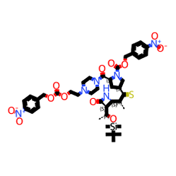 C[C@@H](O[Si](C)(C)C(C)(C)C)[C@H]1C(=O)N[C@@H]1[C@@H](C)C(=S)[C@H]1C[C@@H](C(=O)N2CCN(CCOC(=O)OCc3ccc([N+](=O)[O-])cc3)CC2)N(C(=O)OCc2ccc([N+](=O)[O-])cc2)C1